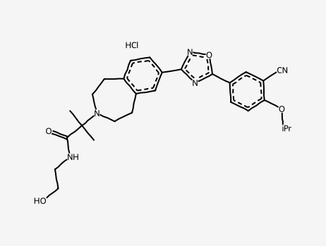 CC(C)Oc1ccc(-c2nc(-c3ccc4c(c3)CCN(C(C)(C)C(=O)NCCO)CC4)no2)cc1C#N.Cl